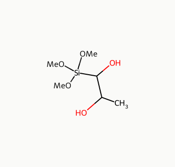 CO[Si](OC)(OC)C(O)C(C)O